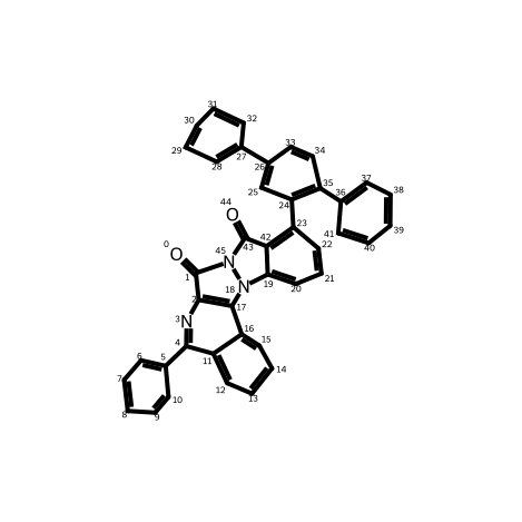 O=c1c2nc(-c3ccccc3)c3ccccc3c2n2c3cccc(-c4cc(-c5ccccc5)ccc4-c4ccccc4)c3c(=O)n12